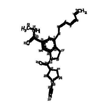 C=C/C=C\C=C/Cc1cc(C(=O)NC)cc2c1CCN2C(=O)C1CCN(C#N)C1